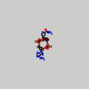 NC(=O)c1cc([C@@H]2O[C@@H]3CO[P@@](=O)(S)OC[C@@H]4[C@@H](CO[P@](=O)(S)O[C@@H]2[C@@H]3O)C[C@H]4n2cnc3c(N)ncnc32)ccn1